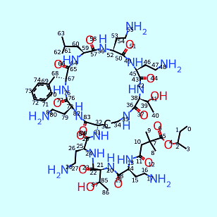 CCC(C)OC(=O)C(C)(C)CC(=O)N[C@@H](CCN)C(=O)N[C@H](C(=O)N[C@@H](CCN)C(=O)N[C@H]1CCNC(=O)[C@H](C(C)O)NC(=O)[C@H](CCN)NC(=O)[C@H](CCN)NC(=O)[C@H](CC(C)C)NC(=O)[C@@H](Cc2ccccc2)NC(=O)[C@H](CCN)NC1=O)C(C)O